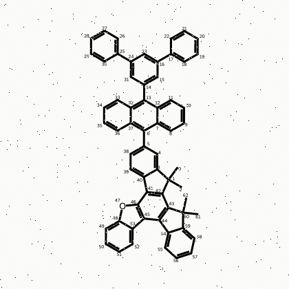 CC1(C)c2cc(-c3c4ccccc4c(-c4cc(-c5ccccc5)cc(-c5ccccc5)c4)c4ccccc34)ccc2-c2c1c1c(c3c2oc2ccccc23)-c2ccccc2C1(C)C